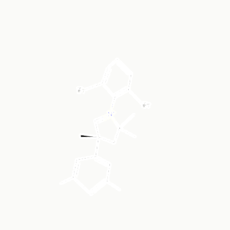 Cc1cc(C)cc([C@]2(C)C=[N+](c3c(C(C)C)cccc3C(C)C)C(C)(C)C2)c1